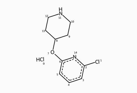 Cl.Clc1cccc(OC2CCNCC2)n1